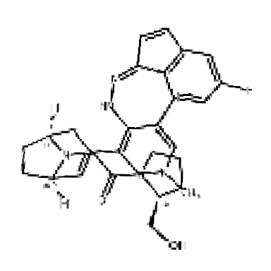 CN1C=C2C(=C(C3=C[C@H]4CC[C@@H](C3)N4CC(=O)N3CCC[C@H]3CO)C1)NN=C1C=Cc3cc(F)cc2c31